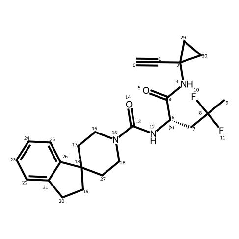 C#CC1(NC(=O)[C@H](CC(C)(F)F)NC(=O)N2CCC3(CCc4ccccc43)CC2)CC1